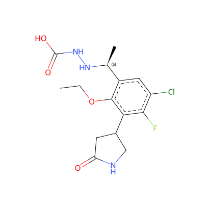 CCOc1c([C@H](C)NNC(=O)O)cc(Cl)c(F)c1C1CNC(=O)C1